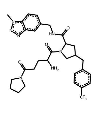 Cn1nnc2cc(CNC(=O)C3CC(Cc4ccc(C(F)(F)F)cc4)CN3C(=O)C(N)CCC(=O)N3CCCC3)ccc21